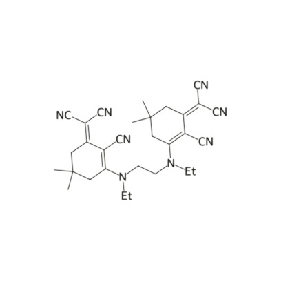 CCN(CCN(CC)C1=C(C#N)C(=C(C#N)C#N)CC(C)(C)C1)C1=C(C#N)C(=C(C#N)C#N)CC(C)(C)C1